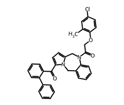 Cc1cc(Cl)ccc1OCC(=O)N1Cc2ccc(C(=O)c3ccccc3-c3ccccc3)n2Cc2ccccc21